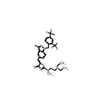 CCN(CC)CCN(C)C1=NC(=O)/C(=C/c2ccc3c(c2)c(I)nn3Cc2ccc(C(F)(F)F)cc2C(F)(F)F)S1